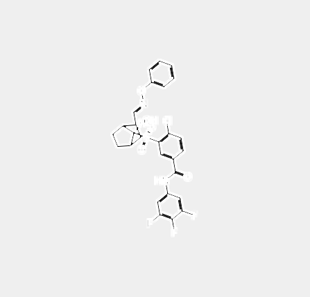 O=C(Nc1cc(F)c(F)c(F)c1)c1ccc(Cl)c(S(=O)(=O)[C@@H]2C3CCC2[C@@](O)(/C=N/Oc2ccccc2)C3)c1